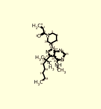 C=CC(=O)N1CCC[C@@H](n2nc(C(C)(C)CCCCC)c3c(NC)ncnc32)C1